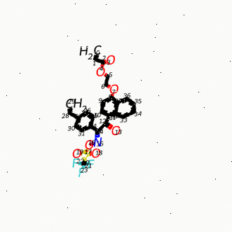 C=CC(=O)OCCOc1ccc(C(=O)/C(=N/OS(=O)(=O)C(F)(F)F)c2ccc(C=C)cc2)c2ccccc12